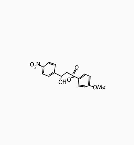 COc1ccc(S(=O)(=O)CC(O)c2ccc([N+](=O)[O-])cc2)cc1